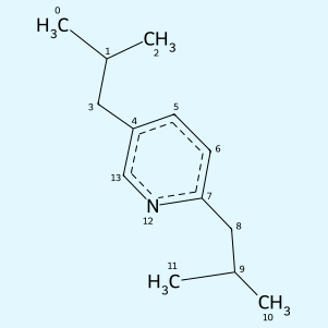 CC(C)Cc1ccc(CC(C)C)nc1